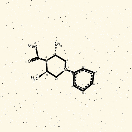 COC(=O)N1[C@H](C)CN(c2ccccc2)C[C@H]1C